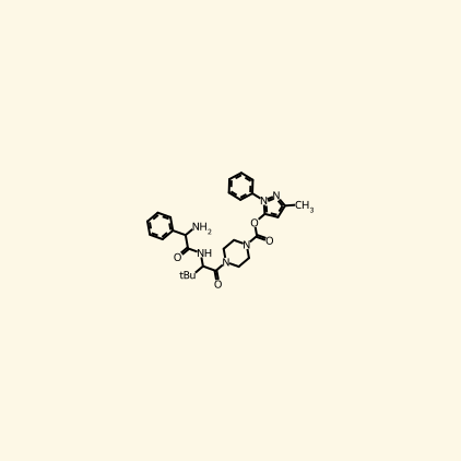 Cc1cc(OC(=O)N2CCN(C(=O)C(NC(=O)C(N)c3ccccc3)C(C)(C)C)CC2)n(-c2ccccc2)n1